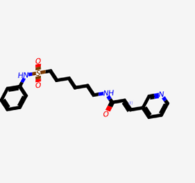 O=C(/C=C/c1cccnc1)NCCCCCCS(=O)(=O)Nc1ccccc1